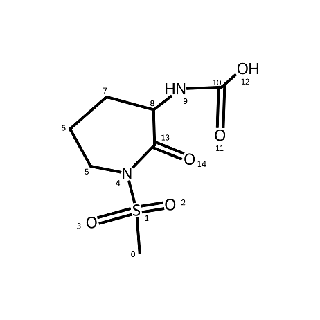 CS(=O)(=O)N1CCCC(NC(=O)O)C1=O